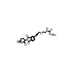 CC(C)(C)OC(=O)NCCOCC#Cc1ccc2c(c1)C(=O)N(C1CCC(=O)NC1=O)C2=O